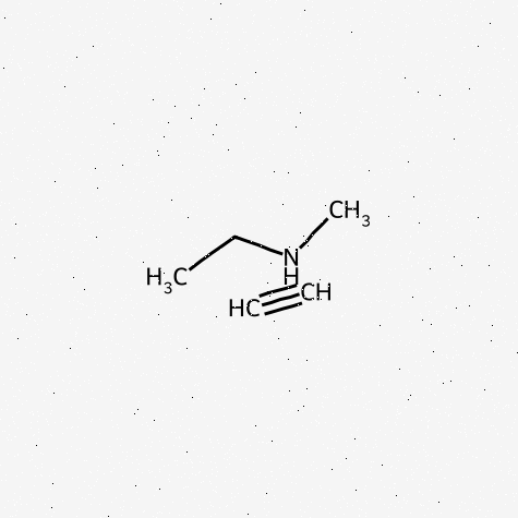 C#C.CCNC